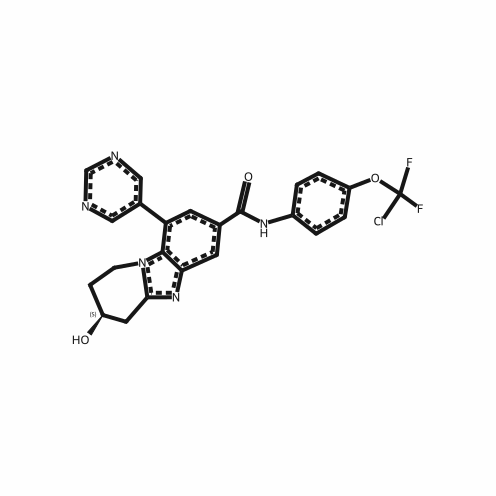 O=C(Nc1ccc(OC(F)(F)Cl)cc1)c1cc(-c2cncnc2)c2c(c1)nc1n2CC[C@H](O)C1